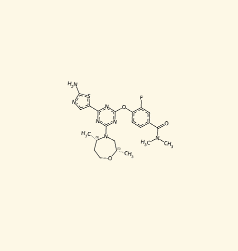 C[C@H]1CN(c2nc(Oc3ccc(C(=O)N(C)C)cc3F)nc(-c3cnc(N)s3)n2)[C@@H](C)CCO1